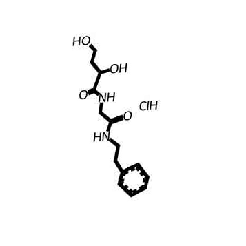 Cl.O=C(CNC(=O)C(O)CCO)NCCc1ccccc1